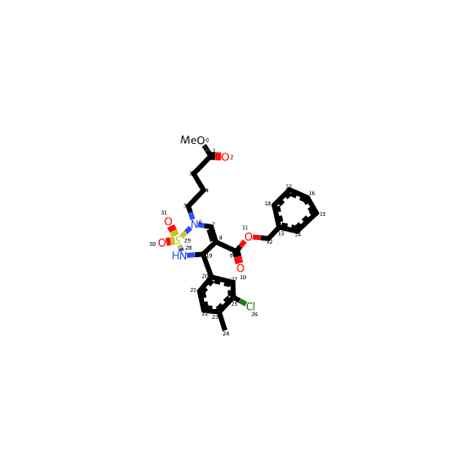 COC(=O)CCCN1C=C(C(=O)OCc2ccccc2)C(c2ccc(C)c(Cl)c2)NS1(=O)=O